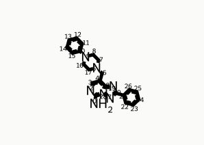 Nc1ncc(CN2CCN(c3ccccc3)CC2)c2nc(-c3ccccc3)nn12